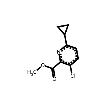 COC(=O)c1nc(C2CC2)ccc1Cl